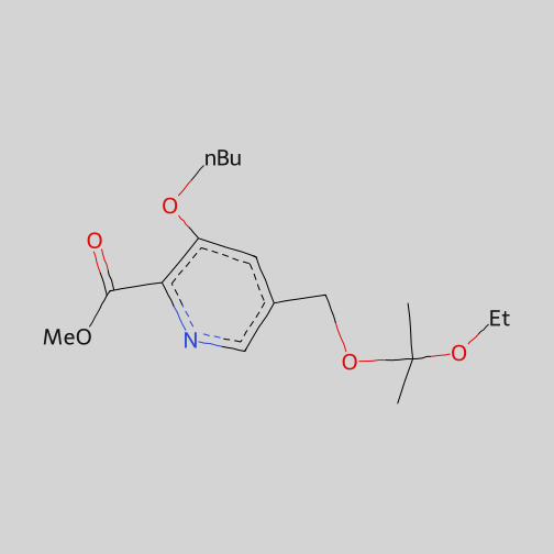 CCCCOc1cc(COC(C)(C)OCC)cnc1C(=O)OC